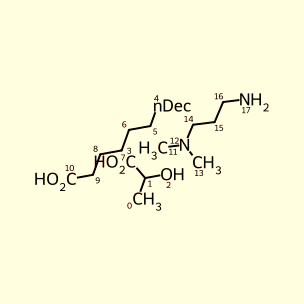 CC(O)C(=O)O.CCCCCCCCCCCCCCCC(=O)O.CN(C)CCCN